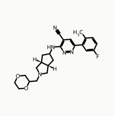 Cc1ccc(F)cc1-c1cc(C#N)c(NC2C[C@@H]3CN(CC4COCCO4)C[C@@H]3C2)nn1